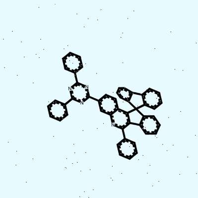 c1ccc(-c2nc(-c3ccccc3)nc(-c3ccc4c5c(c(-c6ccccc6)nc4c3)-c3ccccc3C53c4ccccc4-c4ccccc43)n2)cc1